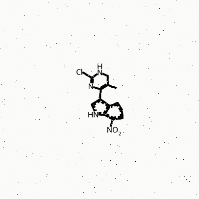 CC1=C(c2c[nH]c3c([N+](=O)[O-])cccc23)N=C(Cl)NC1